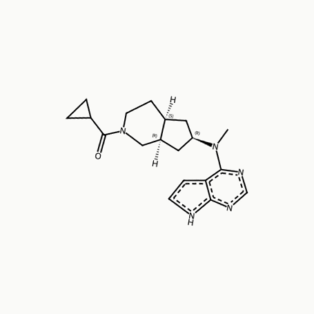 CN(c1ncnc2[nH]ccc12)[C@@H]1C[C@@H]2CCN(C(=O)C3CC3)C[C@@H]2C1